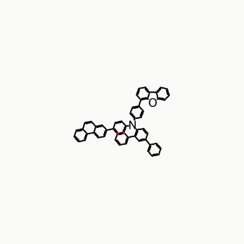 c1ccc(-c2ccc(N(c3ccc(-c4ccc5c(ccc6ccccc65)c4)cc3)c3ccc(-c4cccc5c4oc4ccccc45)cc3)c(-c3ccccc3)c2)cc1